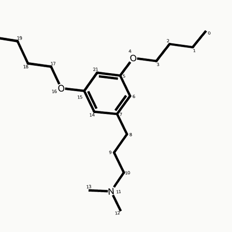 CCCCOc1cc(CCCN(C)C)cc(OCCCC)c1